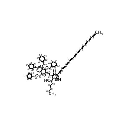 CC#CC#CC#CC#CC#CC#CC#CC#CC#CC#CC(=O)N[C@@H](COC1OC(COCc2ccccc2)C(OCc2ccccc2)C(OCc2ccccc2)C1OCc1ccccc1)[C@H](O)[C@H](O)CCCCC